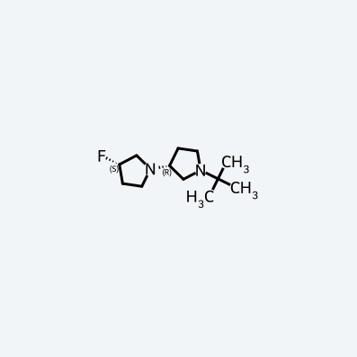 CC(C)(C)N1CC[C@@H](N2CC[C@H](F)C2)C1